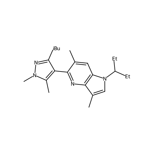 CCC(C)c1nn(C)c(C)c1-c1nc2c(C)cn(C(CC)CC)c2cc1C